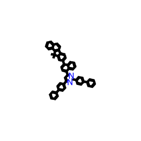 CC1(C)c2cc(-c3ccc(-c4cc(-c5ccc(-c6ccccc6)cc5)nc(-c5ccc(-c6ccccc6)cc5)n4)c4ccccc34)ccc2-c2ccc3ccccc3c21